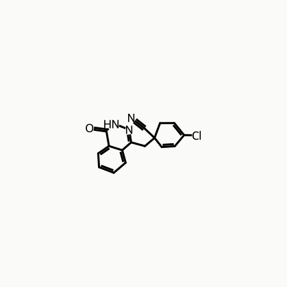 N#CC1(Cc2n[nH]c(=O)c3ccccc23)C=CC(Cl)=CC1